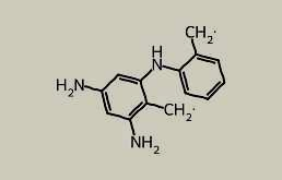 [CH2]c1ccccc1Nc1cc(N)cc(N)c1[CH2]